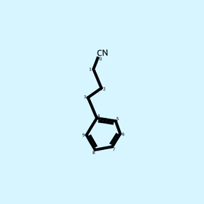 N#CC[CH]Cc1ccccc1